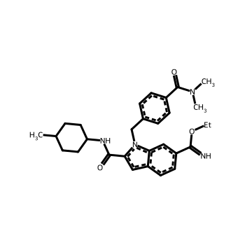 CCOC(=N)c1ccc2cc(C(=O)NC3CCC(C)CC3)n(Cc3ccc(C(=O)N(C)C)cc3)c2c1